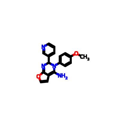 COc1ccc(N2C(N)=c3ccoc3=NC2c2cccnc2)cc1